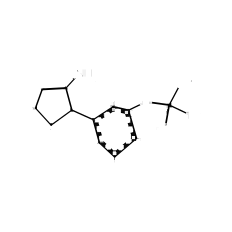 NC1CCCC1c1cc[c]c(OC(F)(F)F)c1